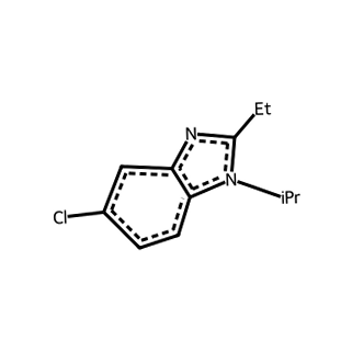 CCc1nc2cc(Cl)ccc2n1C(C)C